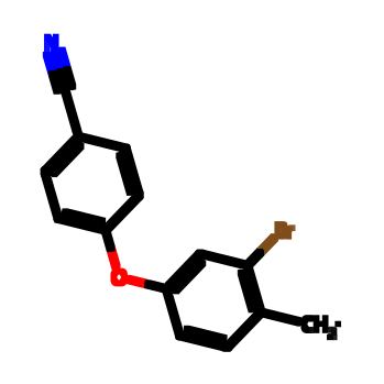 [CH2]c1ccc(Oc2ccc(C#N)cc2)cc1Br